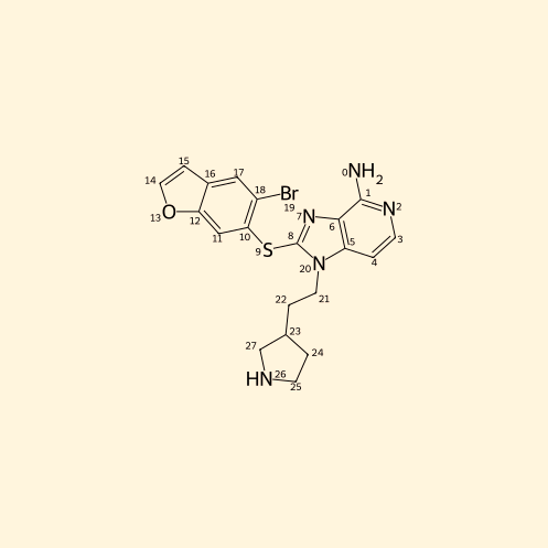 Nc1nccc2c1nc(Sc1cc3occc3cc1Br)n2CCC1CCNC1